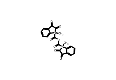 C[N+]1(C(=O)OC(=O)[N+]2(C)C(=O)C(=O)c3ccccc32)C(=O)C(=O)c2ccccc21